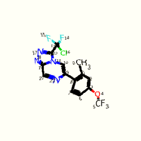 Cc1cc(OC(F)(F)F)ccc1-c1cn2c(C(F)(F)Cl)nnc2cn1